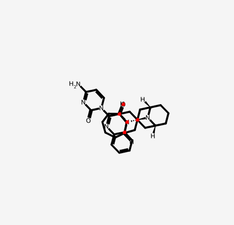 Nc1ccn(-c2nc3ccccc3n([C@H]3C[C@H]4CCC[C@@H](C3)N4[C@@H]3C[C@@H]4CCCC[C@@H](C4)C3)c2=O)c(=O)n1